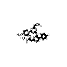 CCc1nc(Nc2nc(CC(=O)NC)ncc2-c2ccc(Cl)cc2)nc(N2CCN(C)CC2)n1